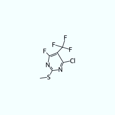 CSc1nc(F)c(C(F)(F)F)c(Cl)n1